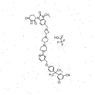 Cn1c(=O)n(C2CCC(=O)NC2=O)c2ccc(CN3CC(N4CCC(N5CCN(c6nccc(COc7ccc(C(C)(C)c8cc(Cl)cc(C#N)c8)cc7)n6)CC5)CC4)C3)cc21.O=C(O)C(F)(F)F